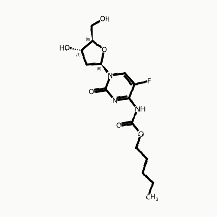 CCCCCOC(=O)Nc1nc(=O)n([C@H]2C[C@H](O)[C@@H](CO)O2)cc1F